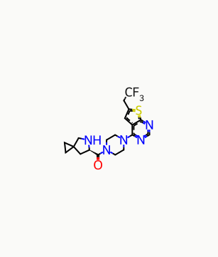 O=C([C@H]1CC2(CC2)CN1)N1CCN(c2ncnc3sc(CC(F)(F)F)cc23)CC1